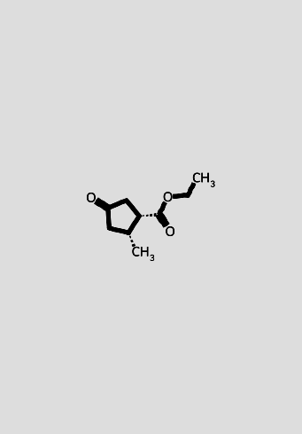 CCOC(=O)[C@H]1CC(=O)C[C@H]1C